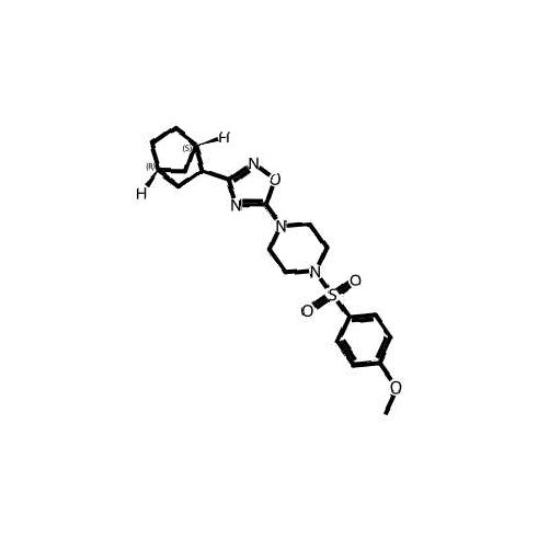 COc1ccc(S(=O)(=O)N2CCN(c3nc(C4C[C@@H]5CC[C@H]4C5)no3)CC2)cc1